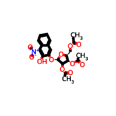 CC(=O)OC[C@H]1O[C@@H](Oc2cc3ccccc3c([N+](=O)[O-])c2O)C(OC(C)=O)[C@H]1OC(C)=O